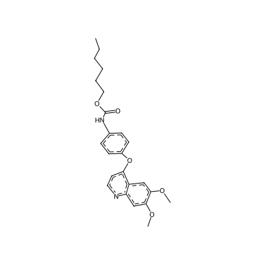 CCCCCCOC(=O)Nc1ccc(Oc2ccnc3cc(OC)c(OC)cc23)cc1